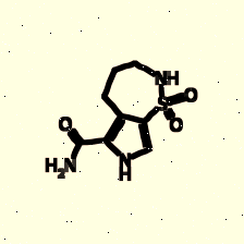 NC(=O)c1[nH]cc2c1CCCNS2(=O)=O